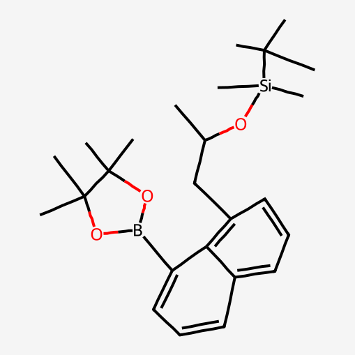 CC(Cc1cccc2cccc(B3OC(C)(C)C(C)(C)O3)c12)O[Si](C)(C)C(C)(C)C